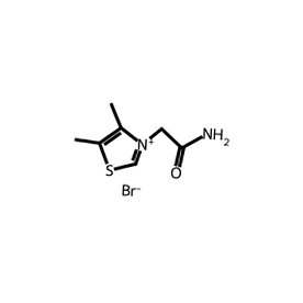 Cc1sc[n+](CC(N)=O)c1C.[Br-]